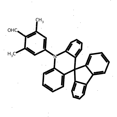 Cc1cc(N2c3ccccc3C3(c4ccccc4-c4ccccc43)c3ccccc32)cc(C)c1C=O